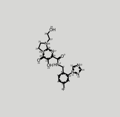 O=C(NCc1ccc(F)cc1-n1cncn1)c1nc2n(c(=O)c1O)CCN2CCO